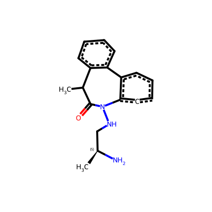 CC1C(=O)N(NC[C@H](C)N)c2ccccc2-c2ccccc21